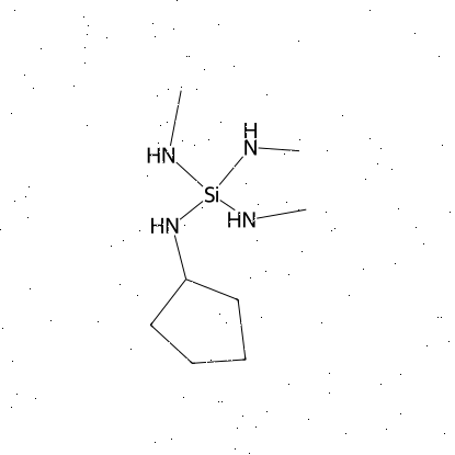 CN[Si](NC)(NC)NC1CCCC1